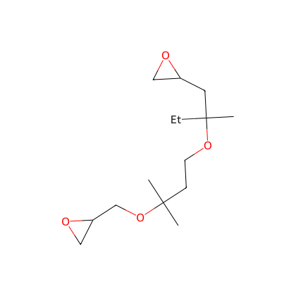 CCC(C)(CC1CO1)OCCC(C)(C)OCC1CO1